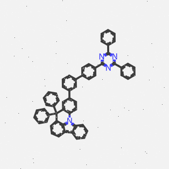 c1ccc(-c2nc(-c3ccccc3)nc(-c3ccc(-c4cccc(-c5ccc6c(c5)C(c5ccccc5)(c5ccccc5)c5cccc7c8ccccc8n-6c57)c4)cc3)n2)cc1